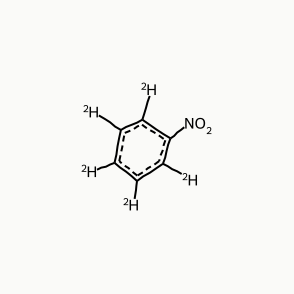 [2H]c1c([2H])c([2H])c([N+](=O)[O-])c([2H])c1[2H]